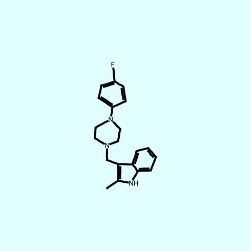 Cc1[nH]c2ccccc2c1CN1CCN(c2ccc(F)cc2)CC1